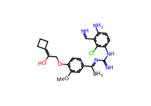 B/C(=N\C(=N)Nc1ccc(N)c(C=N)c1Cl)c1ccc(OCC(O)=C2CCC2)c(OC)c1